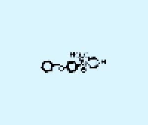 O=C(O)[C@@H]1CNCCN1S(=O)(=O)c1ccc(OCC2CCCCC2)cc1